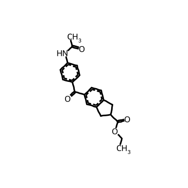 CCOC(=O)C1Cc2ccc(C(=O)c3ccc(NC(C)=O)cc3)cc2C1